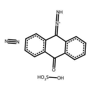 N#N.N=[N+]=C1c2ccccc2C(=O)c2ccccc21.O=S(=O)(O)O